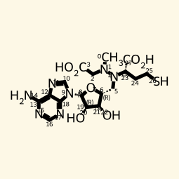 CN(CC(=O)O)N(C[C@H]1O[C@@H](n2cnc3c(N)ncnc32)[C@H](O)[C@@H]1O)[C@@H](CCS)C(=O)O